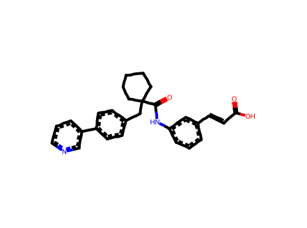 O=C(O)/C=C/c1cccc(NC(=O)C2(Cc3ccc(-c4cccnc4)cc3)CCCCC2)c1